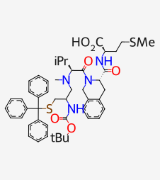 CSCC[C@@H](NC(=O)[C@@H]1Cc2ccccc2CN1C(=O)[C@H](C(C)C)N(C)CC(CSC(c1ccccc1)(c1ccccc1)c1ccccc1)NC(=O)OC(C)(C)C)C(=O)O